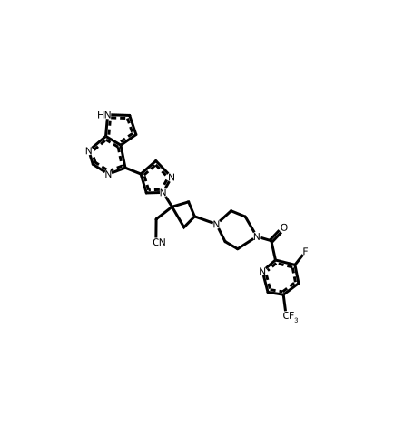 N#CCC1(n2cc(-c3ncnc4[nH]ccc34)cn2)CC(N2CCN(C(=O)c3ncc(C(F)(F)F)cc3F)CC2)C1